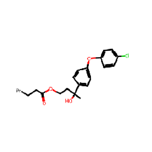 CC(C)CCC(=O)OCCC(C)(O)c1ccc(Oc2ccc(Cl)cc2)cc1